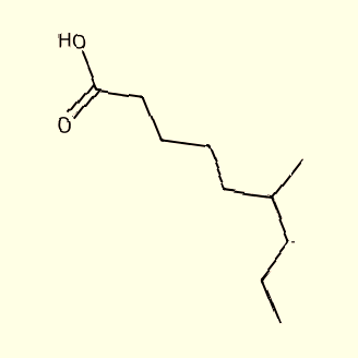 CC[CH]C(C)CCCCC(=O)O